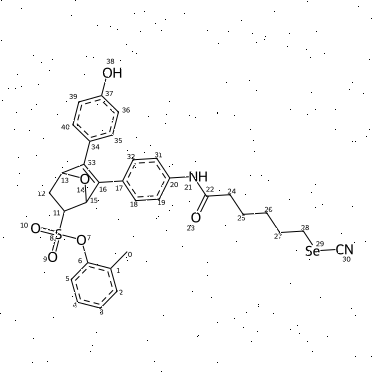 Cc1ccccc1OS(=O)(=O)C1CC2OC1C(c1ccc(NC(=O)CCCCC[Se]C#N)cc1)=C2c1ccc(O)cc1